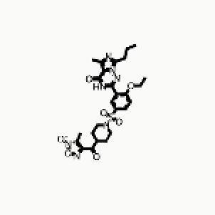 CCCc1nc(C)c2c(=O)[nH]c(-c3cc(S(=O)(=O)N4CCC(C(=O)c5no[n+]([O-])c5C)CC4)ccc3OCC)nn12